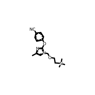 Cc1cn(COCC[Si](C)(C)C)c(Oc2ccc(C#N)cc2)n1